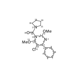 COc1nc(-c2ccccc2)c(Cl)c(OC)[n+]1C(=O)N1CCCC1